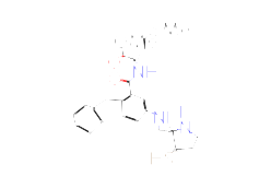 COC(=O)[C@H](CCSC)NC(=O)c1cc(NC[C@H]2NCC[C@@H]2S)ccc1Cc1ccccc1